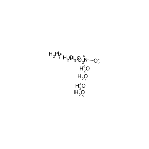 O.O.O.O.O.O.O=[N+]([O-])[O-].[PbH2]